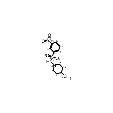 CC1CCN(NS(=O)(=O)c2cccc([N+](=O)[O-])c2)CC1